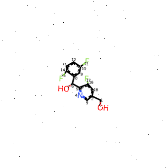 OCc1cnc(C(O)c2cc(F)ccc2F)c(F)c1